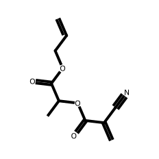 C=CCOC(=O)C(C)OC(=O)C(=C)C#N